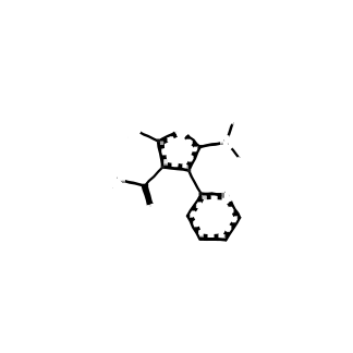 CCN(CC)c1oc(C)c(C(N)=O)c1-c1ccccn1